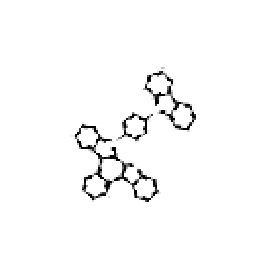 c1ccc2c(c1)oc1c2c2ccccc2c2c3ccccc3n(-c3ccc(-n4c5ccccc5c5ccccc54)cc3)c12